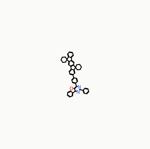 c1ccc(-c2nc(-c3ccc(-c4ccc5c(c4)C4(CCCCC4)c4cc6c(cc4-5)C4(CCCCC4)c4ccccc4-6)cc3)c3oc4ccccc4c3n2)cc1